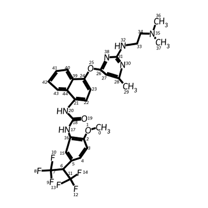 COc1ccc(C(C(F)(F)F)C(F)(F)F)cc1NC(=O)Nc1ccc(Oc2cc(C)nc(NCCN(C)C)n2)c2ccccc12